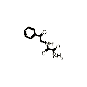 NC(=O)C(=O)NCC(=O)c1ccccc1